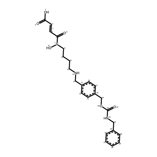 O=C(O)/C=C/C(=O)N(O)CCCCNCc1ccc(COC(=O)NCc2ccccc2)cc1